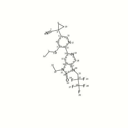 CCSc1cc(C2(C#N)CC2)cnc1-c1cc2c(cn1)n(CC(F)(F)C(F)(F)F)c(=O)n2CC